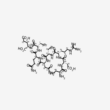 CC(C)C[C@H](NC(=O)[C@H](CCC(N)=O)NC(=O)[C@H](CC(N)=O)NC(=O)[C@H](CC(C)C)NC(=O)[C@H](CCCNC(=N)N)NC(=O)[C@H](CC(=O)O)NC(=O)[C@@H](N)CC(C)C)C(=O)N[C@@H](CCC(=O)O)C(=O)O